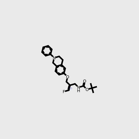 CC(C)(C)OC(=O)NC/C(=C/F)COc1ccc2c(c1)CCN(c1ccccc1)C2